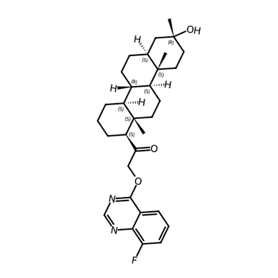 C[C@@]1(O)CC[C@@]2(C)[C@@H](CC[C@@H]3[C@@H]2CC[C@]2(C)[C@@H](C(=O)COc4ncnc5c(F)cccc45)CCC[C@@H]32)C1